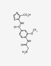 NCC(=O)Nc1ccc([S+]([O-])Nc2scnc2C(=O)O)cc1OC(F)(F)F